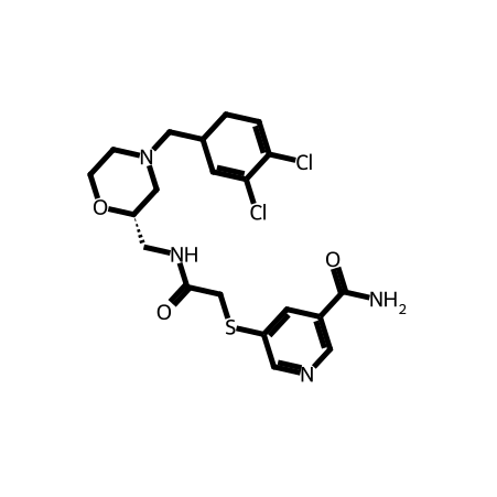 NC(=O)c1cncc(SCC(=O)NC[C@H]2CN(CC3C=C(Cl)C(Cl)=CC3)CCO2)c1